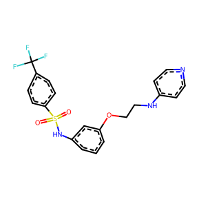 O=S(=O)(Nc1cccc(OCCNc2ccncc2)c1)c1ccc(C(F)(F)F)cc1